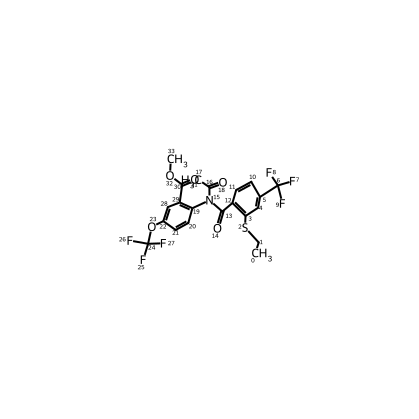 CCSc1cc(C(F)(F)F)ccc1C(=O)N(C(C)=O)c1ccc(OC(F)(F)F)cc1C(=O)OC